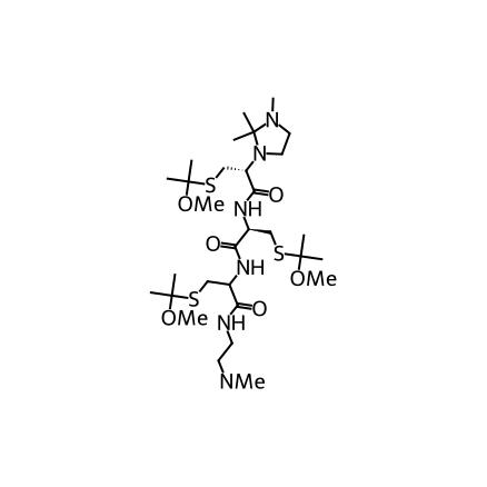 CNCCNC(=O)C(CSC(C)(C)OC)NC(=O)[C@H](CSC(C)(C)OC)NC(=O)[C@H](CSC(C)(C)OC)N1CCN(C)C1(C)C